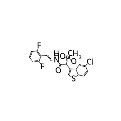 CP(=O)(O)C(C(=O)N/C=C/c1c(F)cccc1F)C1=CSC2C=CC(Cl)=CC12